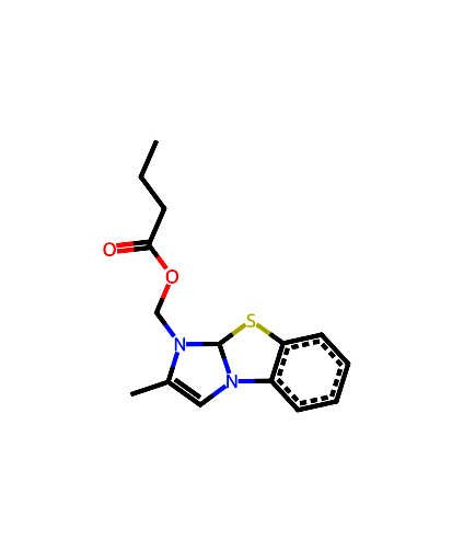 CCCC(=O)OCN1C(C)=CN2c3ccccc3SC12